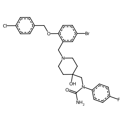 NC(=O)N(CC1(O)CCN(Cc2cc(Br)ccc2OCc2ccc(Cl)cc2)CC1)c1ccc(F)cc1